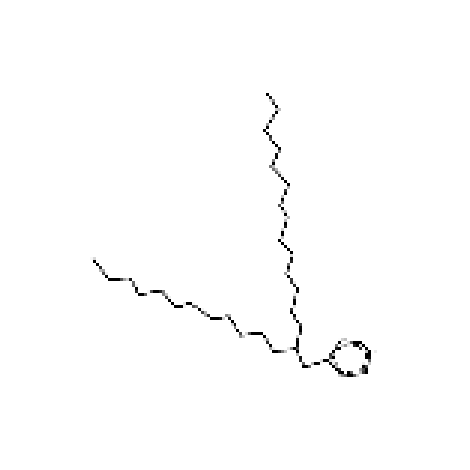 CCCCCCCCCCCCCCC(CCCCCCCCCCCC)Cc1cc[c]cc1